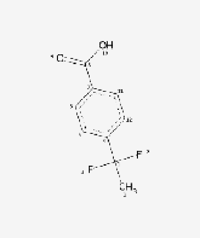 CC(F)(F)c1ccc(C(=O)O)cc1